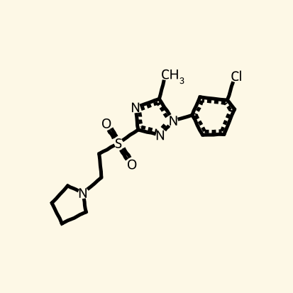 Cc1nc(S(=O)(=O)CCN2CCCC2)nn1-c1cccc(Cl)c1